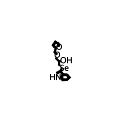 OC(COCc1ccco1)C[Se]c1c[nH]c2ccccc12